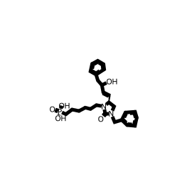 O=C1N(Cc2ccccc2)C[C@H](/C=C/C(O)Cc2ccccc2)N1CCCCCCP(=O)(O)O